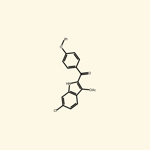 CC(=O)Oc1c(C(=O)c2ccc(OC(C)C)cc2)[nH]c2cc(Cl)ccc12